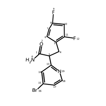 NC(=O)C(Cc1ccc(F)cc1F)c1cc(Br)ccn1